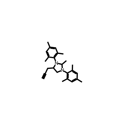 C#CCC1CN(c2c(C)cc(C)cc2C)C(C)N1c1c(C)cc(C)cc1C